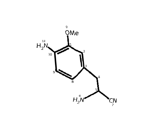 COc1cc(CC(N)C#N)ccc1N